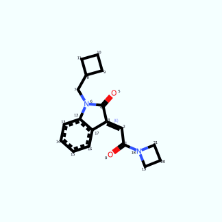 O=C(/C=C1/C(=O)N(CC2CCC2)c2ccccc21)N1CCC1